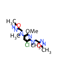 COc1nc(N(C)Cc2nnc(C)o2)c(Cl)cc1N(C)Cc1nnc(C)o1